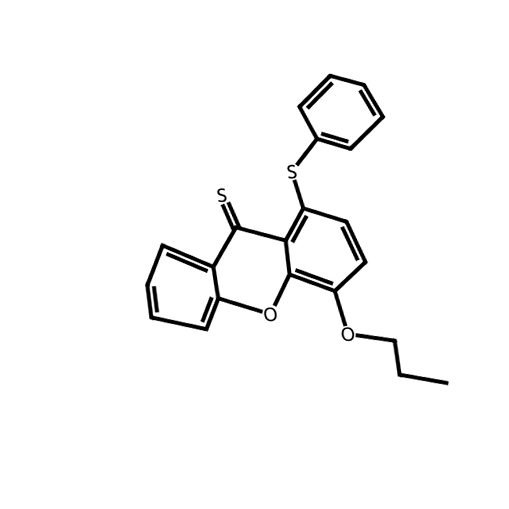 CCCOc1ccc(Sc2ccccc2)c2c(=S)c3ccccc3oc12